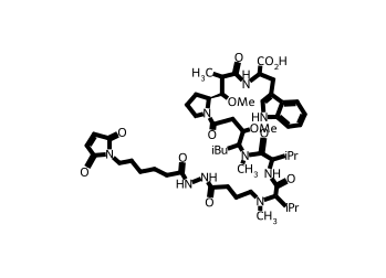 CCC(C)C(C(CC(=O)N1CCC[C@H]1C(OC)C(C)C(=O)NC(Cc1c[nH]c2ccccc12)C(=O)O)OC)N(C)C(=O)C(NC(=O)C(C(C)C)N(C)CCCC(=O)NNC(=O)CCCCCN1C(=O)C=CC1=O)C(C)C